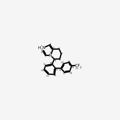 C=CN1/C(=C\N)CCCC1c1ccccc1-c1ccc(C(F)(F)F)cc1